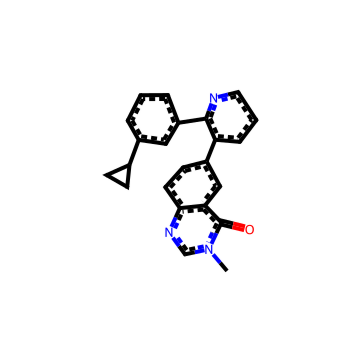 Cn1cnc2ccc(-c3cccnc3-c3cccc(C4CC4)c3)cc2c1=O